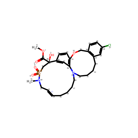 COC(=O)[C@@]1(O)CS(=O)(=O)N(C)C/C=C/CCCCN2CCCCc3cc(Cl)ccc3COc3ccc1cc32